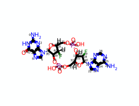 Nc1nc2c(ncn2[C@@H]2O[C@@H]3COP(=O)(O)O[C@@H]4C(F)[C@H](n5cnc6c(N)ncnc65)O[C@@H]4COP(=O)(O)OC2[C@H]3F)c(=O)[nH]1